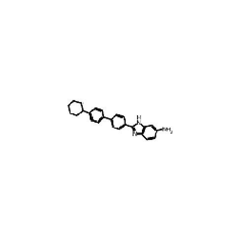 Nc1ccc2nc(-c3ccc(-c4ccc(C5[CH]CCCC5)cc4)cc3)[nH]c2c1